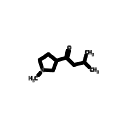 CC(C)CC(=O)C1CCN(C)C1